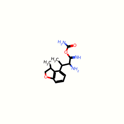 CC1COc2cccc(C(C)C(N)C(=N)OC(N)=O)c21